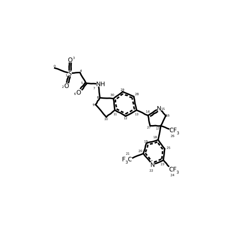 CS(=O)(=O)CC(=O)NC1CCc2cc(C3=NCC(c4cc(C(F)(F)F)nc(C(F)(F)F)c4)(C(F)(F)F)C3)ccc21